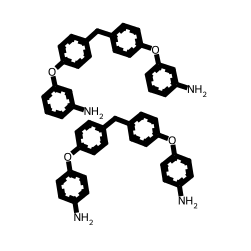 Nc1ccc(Oc2ccc(Cc3ccc(Oc4ccc(N)cc4)cc3)cc2)cc1.Nc1cccc(Oc2ccc(Cc3ccc(Oc4cccc(N)c4)cc3)cc2)c1